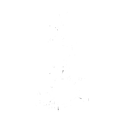 CCCN(C)C(=O)OCC(C)/C=C/C=C(\C)[C@H]1OC(=O)C[C@@H](O)CC[C@](C)(O)[C@@H](OC(C)=O)/C=C/[C@@H]1C